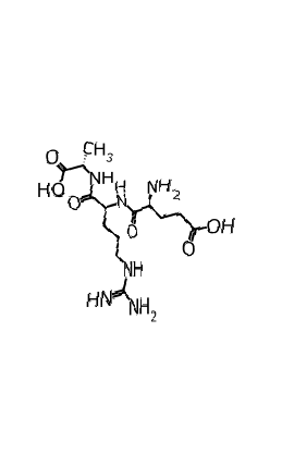 C[C@H](NC(=O)[C@H](CCCNC(=N)N)NC(=O)[C@@H](N)CCC(=O)O)C(=O)O